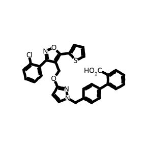 O=C(O)c1ccccc1-c1ccc(Cn2ccc(OCc3c(-c4ccccc4Cl)noc3-c3cccs3)n2)cc1